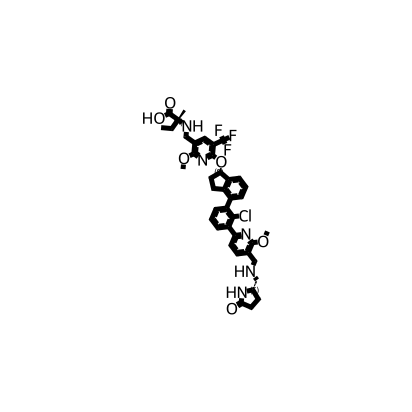 CC[C@@](C)(NCc1cc(C(F)(F)F)c(O[C@H]2CCc3c(-c4cccc(-c5ccc(CNC[C@@H]6CCC(=O)N6)c(OC)n5)c4Cl)cccc32)nc1OC)C(=O)O